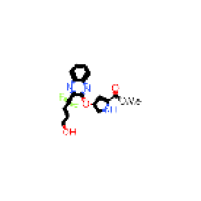 COC(=O)[C@@H]1C[C@@H](Oc2nc3ccccc3nc2C(F)(F)/C=C/CO)CN1